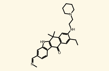 CCc1cc2c(cc1NCCN1CCCCC1)C(C)(C)c1[nH]c3cc(/C=N\C)ccc3c1C2=O